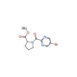 CC(C)(C)OC(=O)C1CCCN1C(=O)c1ncc(Br)cn1